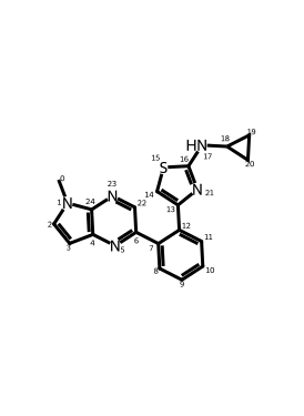 Cn1ccc2nc(-c3ccccc3-c3csc(NC4CC4)n3)cnc21